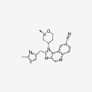 Cc1nc(Cc2nc3cnc4ccc(C#N)cc4c3n2C2CCO[C@H](C)C2)cs1